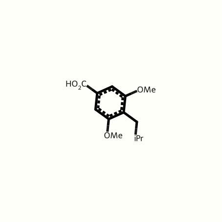 COc1cc(C(=O)O)cc(OC)c1CC(C)C